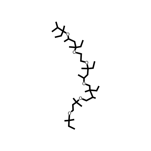 CCC(C)(C)OCCC(C)(C)OCC(C)C(C)(CC)COC(C)CC(C)(CC)OCCOC(C)(CC)CC(C)OC(C)(CC)C(C)C